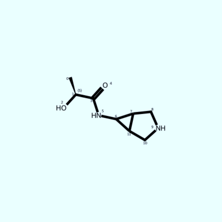 C[C@H](O)C(=O)NC1C2CNCC21